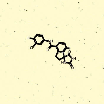 O=C1NC(=O)C2(CCc3c(C(=O)Nc4ccc(F)c(Cl)c4)ccc(F)c32)N1